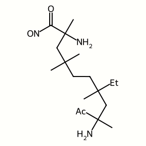 CCC(C)(CCC(C)(C)CC(C)(N)C(=O)N=O)CC(C)(N)C(C)=O